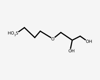 O=S(=O)(O)CCCOCC(O)CO